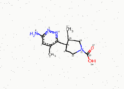 Cc1cc(N)nnc1C1CCN(C(=O)O)CC1C